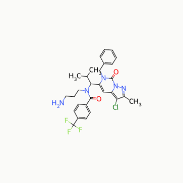 Cc1nn2c(=O)n(Cc3ccccc3)c(C(C(C)C)N(CCCN)C(=O)c3ccc(C(F)(F)F)cc3)cc2c1Cl